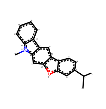 CC(C)c1ccc2c(c1)oc1cc3c(cc12)c1ccccc1n3C